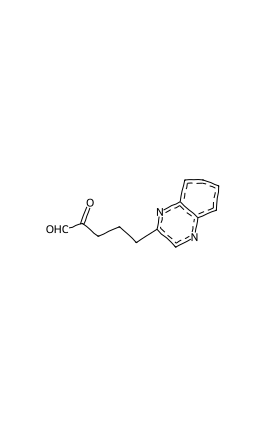 O=CC(=O)CCCc1cnc2ccccc2n1